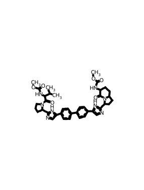 COC(=O)NC1CCC2CCC(c3ncc(-c4ccc(-c5ccc(-c6cnc(C7CCCN7C(=O)C(NC(=O)OC)C(C)C)[nH]6)cc5)cc4)[nH]3)N2C1=O